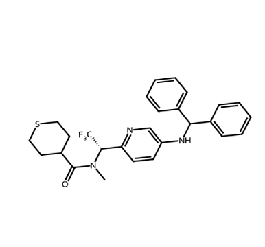 CN(C(=O)C1CCSCC1)[C@@H](c1ccc(NC(c2ccccc2)c2ccccc2)cn1)C(F)(F)F